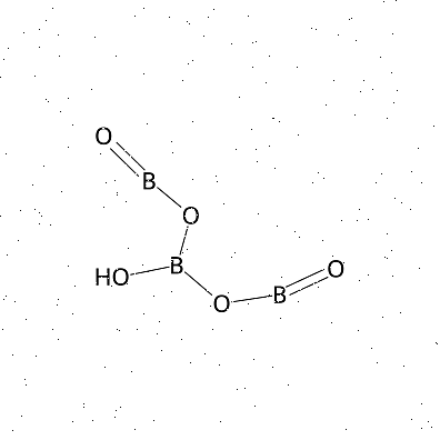 O=BOB(O)OB=O